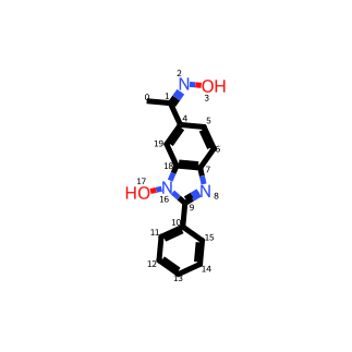 C/C(=N/O)c1ccc2nc(-c3ccccc3)n(O)c2c1